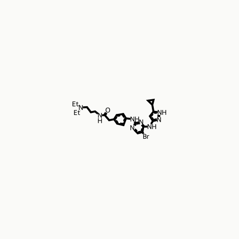 CCN(CC)CCCNC(=O)Cc1ccc(Nc2ncc(Br)c(Nc3cc(C4CC4)[nH]n3)n2)cc1